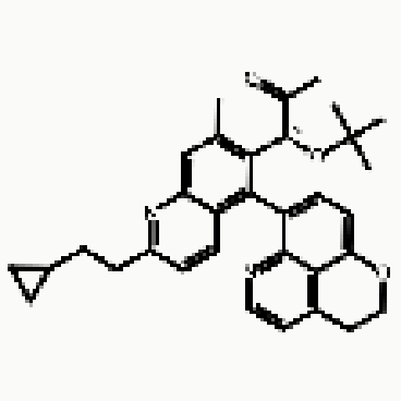 CC(=O)[C@@H](OC(C)(C)C)c1c(C)cc2nc(CCC3CC3)ccc2c1-c1ccc2c3c(ccnc13)CCO2